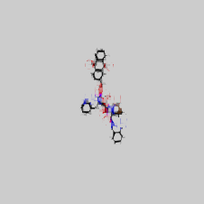 Cc1ccccc1CNC(=O)[C@H]1N(C(=O)[C@@H](O)[C@H](Cc2ccccc2)NC(=O)OCc2ccc3c(c2)C(=O)c2ccccc2C3=O)CSC1(C)C